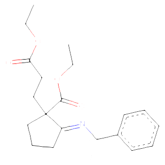 CCOC(=O)CCC1(C(=O)OCC)CCCC1=N[C@@H](C)c1ccccc1